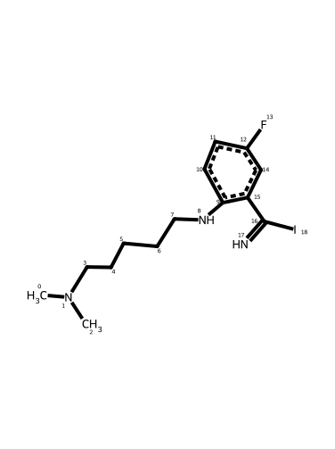 CN(C)CCCCCNc1ccc(F)cc1C(=N)I